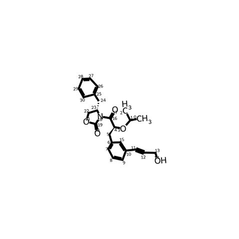 CC(C)O[C@@H](Cc1cccc(C#CCO)c1)C(=O)N1C(=O)OC[C@@H]1Cc1ccccc1